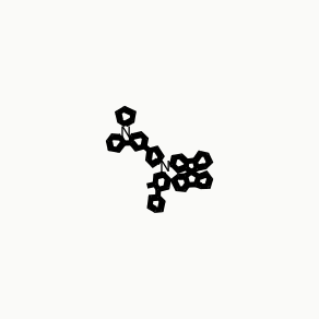 CC1C=C(N(c2ccc(-c3ccc4c(c3)c3ccccc3n4-c3ccccc3)cc2)c2ccc3c(c2)C2(c4ccccc4-c4ccccc42)c2ccccc2-3)C=CC1c1ccccc1